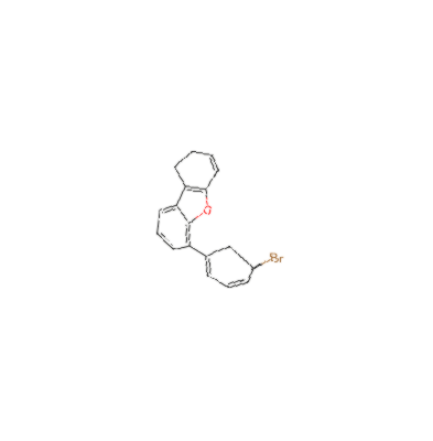 BrC1C=CC=C(c2cccc3c4c(oc23)C=CCC4)C1